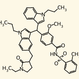 CCCn1cc(C(c2ccc(C(=O)NS(=O)(=O)c3ccccc3C)cc2OC)c2cn(CCC)c3ccc(CC4CCN(CC)C4=O)cc23)c2ccccc21